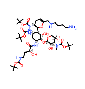 CN(C(=O)OC(C)(C)C)[C@@H]1[C@@H](O)[C@@H](O[C@@H]2[C@@H](O)[C@H](C3OC(CNCCCCN)=CC[C@H]3NC(=O)OC(C)(C)C)[C@@H](NC(=O)OC(C)(C)C)C[C@H]2NC(=O)[C@@H](O)CCNC(=O)OC(C)(C)C)OC[C@]1(C)O